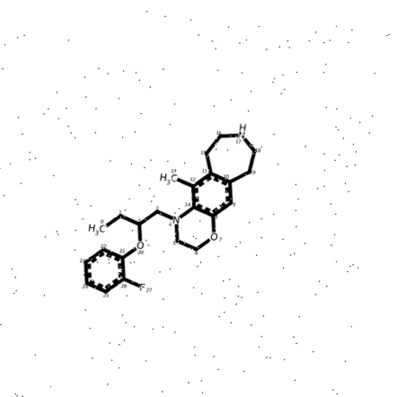 CCC(CN1CCOc2cc3c(c(C)c21)CCNCC3)Oc1ccccc1F